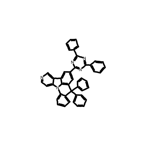 c1ccc(-c2nc(-c3ccccc3)nc(-c3cc4c5c(c3)c3cnccc3n5-c3ccccc3C4(c3ccccc3)c3ccccc3)n2)cc1